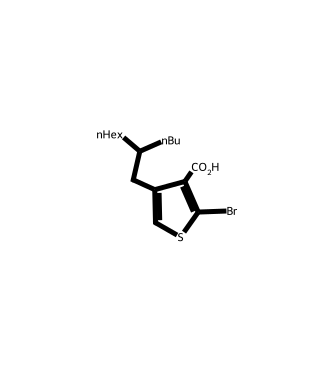 CCCCCCC(CCCC)Cc1csc(Br)c1C(=O)O